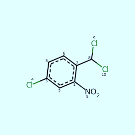 O=[N+]([O-])c1cc(Cl)ccc1C(Cl)Cl